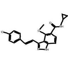 COc1c(C(=O)NC2CC2)ccc2[nH]nc(/C=C/c3ccc(Cl)cc3)c12